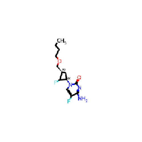 CCCCOC[C@H]1C[C@@H](n2cc(F)c(N)nc2=O)C1F